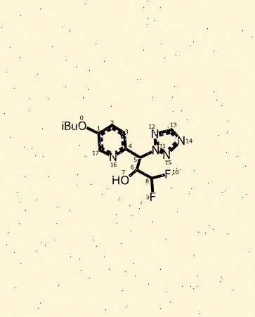 CC(C)COc1ccc(C(C(O)C(F)F)n2ncnn2)nc1